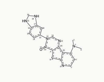 CN(C)c1ccnc2sc3c(=O)n(-c4ccc5c(c4)NCN5)cnc3c12